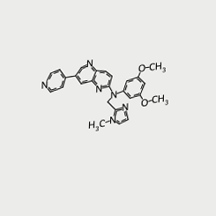 COc1cc(OC)cc(N(Cc2nccn2C)c2ccc3ncc(-c4ccncc4)cc3n2)c1